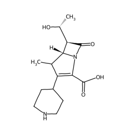 CC1C(C2CCNCC2)=C(C(=O)O)N2C(=O)[C@H]([C@@H](C)O)[C@@H]12